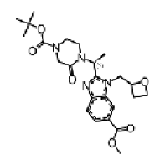 COC(=O)c1ccc2nc([C@H](C)N3CCN(C(=O)OC(C)(C)C)CC3=O)n(CC3CCO3)c2c1